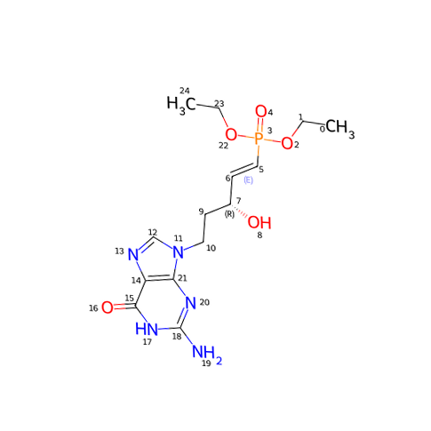 CCOP(=O)(/C=C/[C@H](O)CCn1cnc2c(=O)[nH]c(N)nc21)OCC